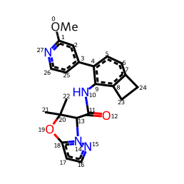 COc1cc(-c2ccc3c(c2NC(=O)C2n4nccc4OC2(C)C)CC3)ccn1